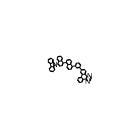 c1cc(-c2ccc3c(c2)c2ccccc2c2nccnc32)cc(-c2cccc3c(-c4ccc(-n5c6ccccc6c6ccccc65)c5ccccc45)cccc23)c1